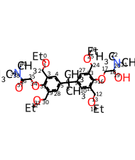 CCOCc1cc(C(C)(C)c2cc(COCC)c(OCC(O)N(C)C)c(COCC)c2)cc(COCC)c1OCC(=O)N(C)C